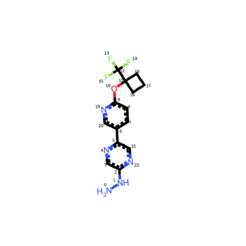 NNc1cnc(-c2ccc(OC3(C(F)(F)F)CCC3)nc2)cn1